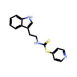 S=C(NCCc1c[nH]c2ccccc12)Sc1ccncc1